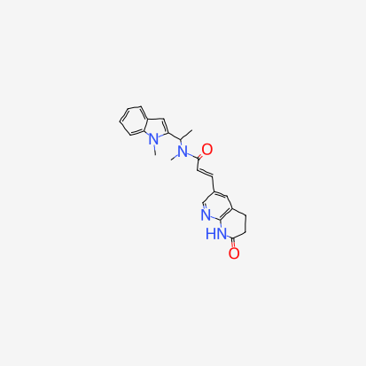 CC(c1cc2ccccc2n1C)N(C)C(=O)/C=C/c1cnc2c(c1)CCC(=O)N2